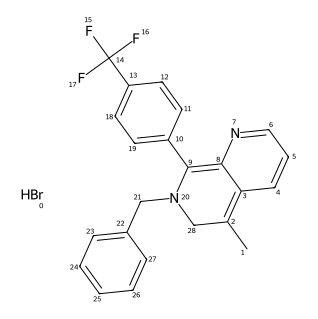 Br.CC1=c2cccnc2=C(c2ccc(C(F)(F)F)cc2)N(Cc2ccccc2)C1